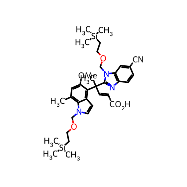 COc1cc(C)c2c(ccn2COCC[Si](C)(C)C)c1C(C)(C=CC(=O)O)c1nc2ccc(C#N)cc2n1COCC[Si](C)(C)C